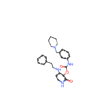 O=C(Nc1cccc(CN2CCCCC2)c1)Oc1c(NCCc2ccccc2)cc[nH]c1=O